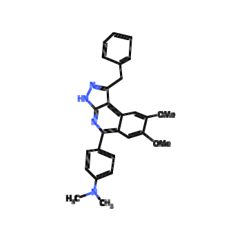 COc1cc2c(-c3ccc(N(C)C)cc3)nc3[nH]nc(Cc4ccccc4)c3c2cc1OC